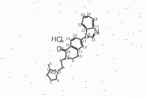 C[C@@H]1CCCN1CCN1CCc2cc(-n3cnc4ccccc43)ccc2C1=O.Cl